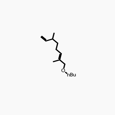 C=CC(C)CC/C=C(\C)COCCCC